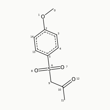 COc1ccc(S(=O)(=O)CC(C)=O)cc1